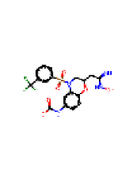 N=C(CC1CN(S(=O)(=O)c2cccc(C(F)(F)F)c2)c2cc(NC(=O)O)ccc2O1)NO